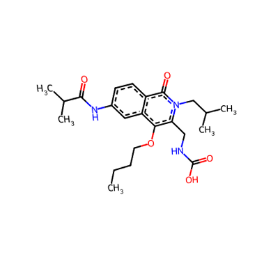 CCCCOc1c(CNC(=O)O)n(CC(C)C)c(=O)c2ccc(NC(=O)C(C)C)cc12